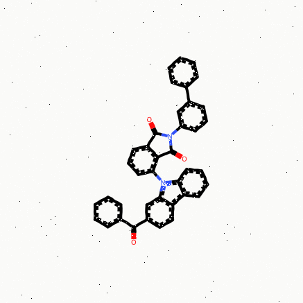 O=C(c1ccccc1)c1ccc2c3ccccc3n(-c3cccc4c3C(=O)N(c3cccc(-c5ccccc5)c3)C4=O)c2c1